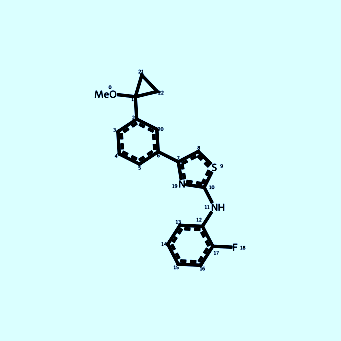 COC1(c2cccc(-c3csc(Nc4ccccc4F)n3)c2)CC1